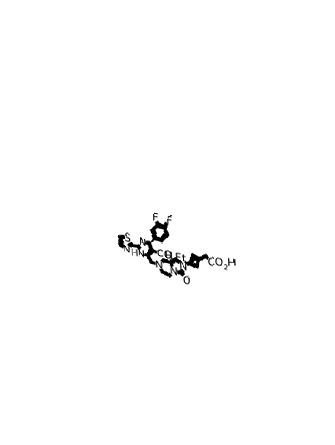 CCOC(=O)C1=C(CN2CCN3C(=O)N(C45CC(CC(=O)O)(C4)C5)C[C@@H]3C2)NC(c2nccs2)=N[C@H]1c1ccc(F)c(F)c1